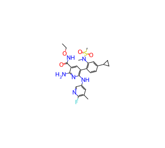 CCONC(=O)c1cc(-c2ccc(C3CC3)cc2N(C)S(C)(=O)=O)c(Nc2cnc(F)c(C)c2)nc1N